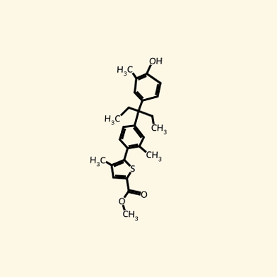 CCC(CC)(c1ccc(O)c(C)c1)c1ccc(-c2sc(C(=O)OC)cc2C)c(C)c1